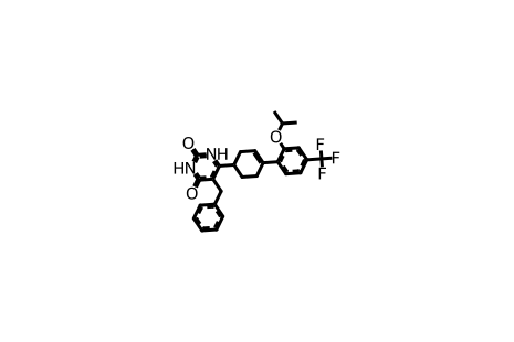 CC(C)Oc1cc(C(F)(F)F)ccc1C1=CCC(c2[nH]c(=O)[nH]c(=O)c2Cc2ccccc2)CC1